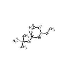 COC(NC(=O)OC(C)(C)C)OC